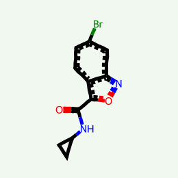 O=C(NC1CC1)c1onc2cc(Br)ccc12